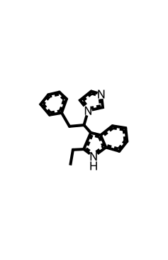 CCc1[nH]c2ccccc2c1C(Cc1ccccc1)n1ccnc1